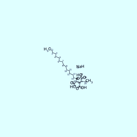 CCCCCCCCCCCCCCCCC(C(=O)O)=C(C(=O)O)C(CC)S(=O)(=O)O.[NaH]